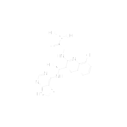 C[C@H](Nc1ncnc2[nH]cnc12)c1cc2cccc(Cl)c2nc1NCC(=O)N(C)C